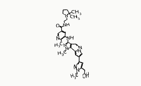 Cc1ncc(C(=O)NCCN2CCCC2(C)C)cc1Nc1nn(C)c2c1cnn1cc(-c3cc(CO)n(C)n3)cc21